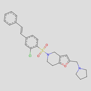 O=S(=O)(c1ccc(C=Cc2ccccc2)cc1Cl)N1CCc2oc(CN3CCCC3)cc2C1